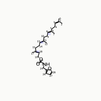 CC(C)=CCC/C(C)=C/CC/C(C)=C/CC/C(C)=C/COC(=O)NCc1ccco1